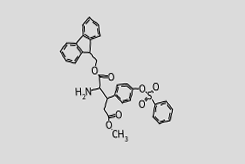 COC(=O)CC(c1ccc(OS(=O)(=O)c2ccccc2)cc1)C(N)C(=O)OCC1c2ccccc2-c2ccccc21